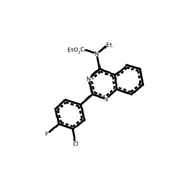 CCOC(=O)N(CC)c1nc(-c2ccc(F)c(Cl)c2)nc2ccccc12